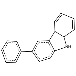 C1=CC2Nc3ccc(-c4ccccc4)cc3C2C=C1